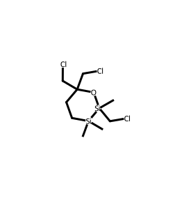 C[Si]1(C)CCC(CCl)(CCl)O[Si]1(C)CCl